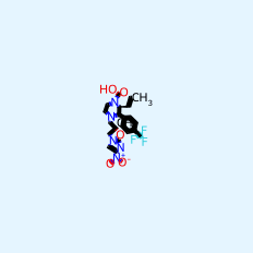 CC=C[C@H]1C(c2ccc(C(F)(F)F)cc2)N(CC2(C)Cn3cc([N+](=O)[O-])nc3O2)CCN1C(=O)O